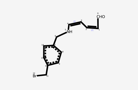 O=C/C=C\C=C/NCc1ccc(CBr)cc1